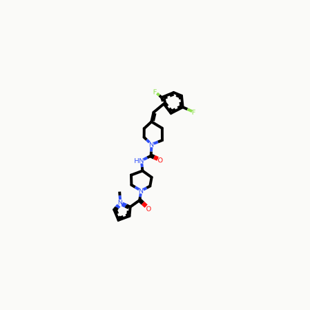 Cn1cccc1C(=O)N1CCC(NC(=O)N2CCC(=Cc3cc(F)ccc3F)CC2)CC1